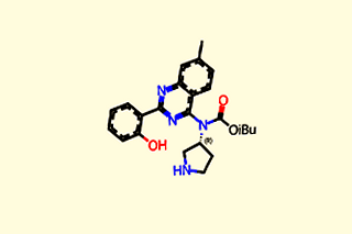 Cc1ccc2c(N(C(=O)OCC(C)C)[C@@H]3CCNC3)nc(-c3ccccc3O)nc2c1